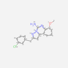 COc1cccc2c1nc(N)n1nc(Cc3cccc(Cl)c3)cc21